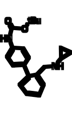 CC(C)(C)OC(=O)Nc1ccc(-c2ccccc2CNC2CC2)cc1